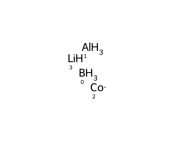 B.[AlH3].[Co].[LiH]